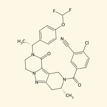 C[C@@H]1Cc2nn3c(c2CN1C(=O)c1ccc(Cl)c(C#N)c1)C(=O)N([C@H](C)c1ccc(OC(F)F)cc1)CC3